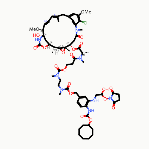 COc1cc2cc(c1Cl)N(C)C(=O)C[C@H](OC(=O)[C@H](C)N(C)C(=O)CCOC(=O)N(C)CCN(C)C(=O)OCc1ccc(NC(=O)OC3CCCCCCC3)c(NCC(O)ON3C(=O)CCC3=O)c1)[C@]1(C)O[C@H]1[C@H](C)[C@@H]1C[C@@](O)(NC(=O)O1)[C@H](OC)/C=C/C=C(\C)C2